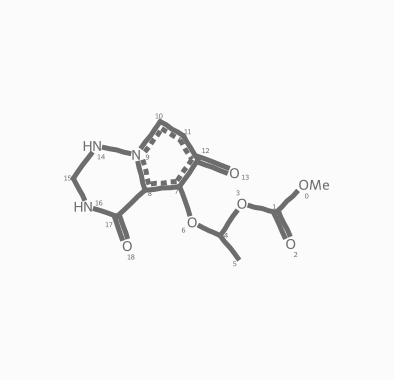 COC(=O)OC(C)Oc1c2n(ccc1=O)NCNC2=O